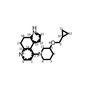 c1cc(N2CCCC(OCC3CC3)C2)c2c(n1)CCc1[nH]ccc1-2